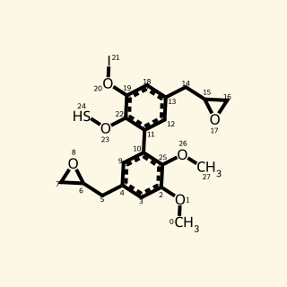 COc1cc(CC2CO2)cc(-c2cc(CC3CO3)cc(OI)c2OS)c1OC